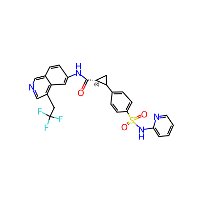 O=C(Nc1ccc2cncc(CC(F)(F)F)c2c1)[C@@H]1CC1c1ccc(S(=O)(=O)Nc2ccccn2)cc1